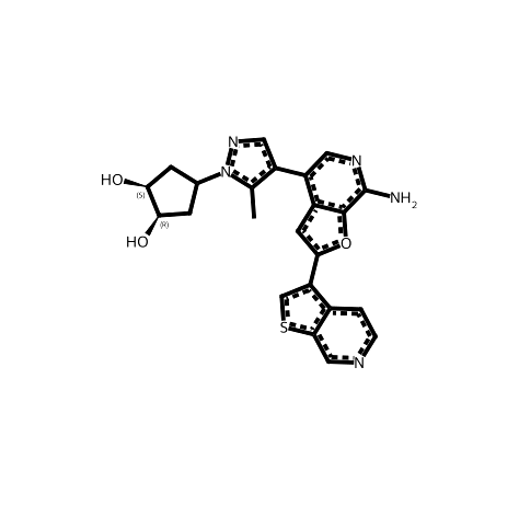 Cc1c(-c2cnc(N)c3oc(-c4csc5cnccc45)cc23)cnn1C1C[C@@H](O)[C@@H](O)C1